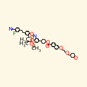 C=C(C)C(=O)Oc1c(/N=C2/Oc3ccc(CCc4ccc(C#N)c(F)c4)cc3CS2)cc(C2CCC(OC(=O)c3ccc4cc(OCCCOCC5CCC6OC6C5)ccc4c3)CC2)cc1SCC